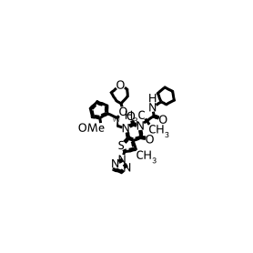 COc1ccccc1[C@H](Cn1c(=O)n(C(C)(C)C(=O)NC2CCCCC2)c(=O)c2c(C)c(-n3nccn3)sc21)OC1CCOCC1